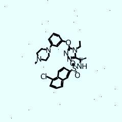 CCn1c(Oc2cccc(N3CCN(C)CC3)c2)nnc1[C@@H](C)NS(=O)(=O)c1ccc2c(Cl)cccc2c1